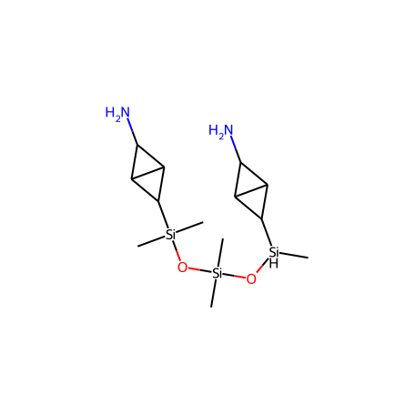 C[SiH](O[Si](C)(C)O[Si](C)(C)C1C2C(N)C21)C1C2C(N)C21